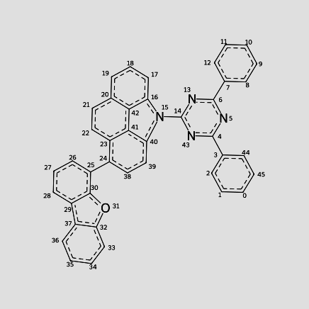 c1ccc(-c2nc(-c3ccccc3)nc(-n3c4cccc5ccc6c(-c7cccc8c7oc7ccccc78)ccc3c6c54)n2)cc1